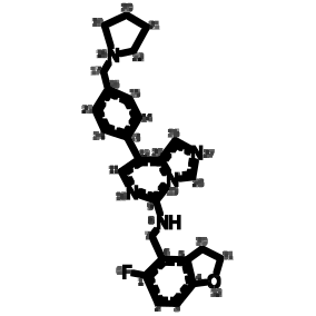 Fc1ccc2c(c1CNc1ncc(-c3ccc(CN4CCCC4)cc3)c3cncn13)CCO2